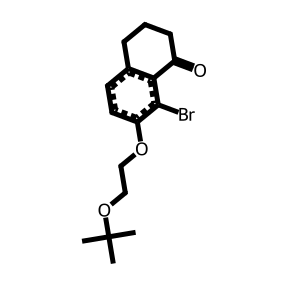 CC(C)(C)OCCOc1ccc2c(c1Br)C(=O)CCC2